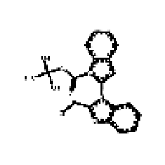 CC(C)(C)OC(=O)n1c(-n2c(CCl)nc3ccccc32)nc2ccccc21